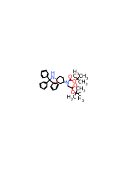 CC(C)(C)OC(=O)CN(C(=O)OC(C)(C)C)[C@H]1CC[C@H](NC(c2ccccc2)(c2ccccc2)c2ccccc2)CC1